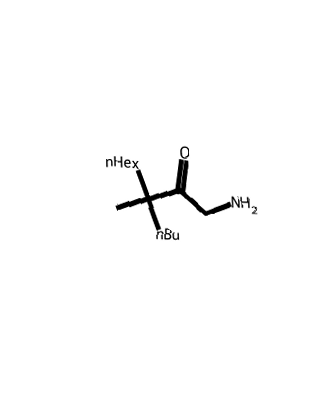 CCCCCCC(C)(CCCC)C(=O)CN